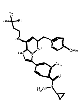 CCC(CC)(CC)CCNC1=CC(Cc2ccc(OC)cc2)NN2C(c3ccc(C(=O)N(N)C4CC4)c(C)c3)=CNC12